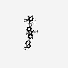 Cc1ncc(Cl)c([C@@H](C)Oc2ccc(N)c(C(=N)c3ccc(N4CCN5C(=O)CCC5C4)nc3)c2)c1Cl